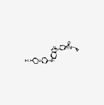 O=C(NCC1CC1)c1ccc(-n2ncc3cc(Nc4ccc(N5CCC(O)CC5)cc4)ccc32)cc1